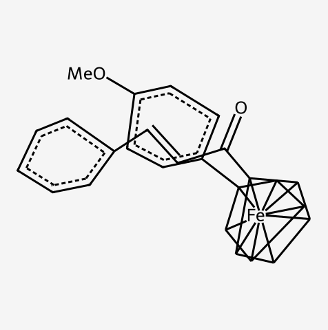 COc1ccc([C]23[CH]4[CH]5[CH]6[CH]2[Fe]56432789[CH]3[CH]2[CH]7[C]8(C(=O)C=Cc2ccccc2)[CH]39)cc1